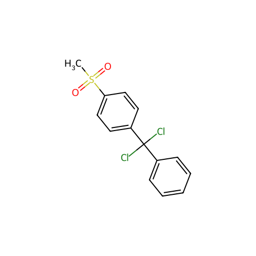 CS(=O)(=O)c1ccc(C(Cl)(Cl)c2ccccc2)cc1